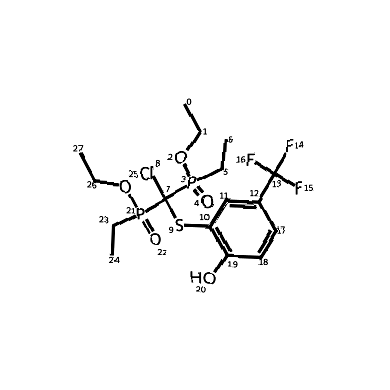 CCOP(=O)(CC)C(Cl)(Sc1cc(C(F)(F)F)ccc1O)P(=O)(CC)OCC